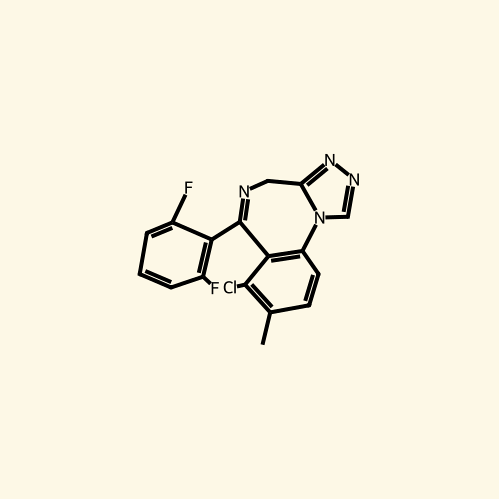 Cc1ccc2c(c1Cl)C(c1c(F)cccc1F)=NCc1nncn1-2